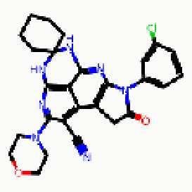 N#Cc1c(N2CCOCC2)nc2c3c(nc4c(c13)CC(=O)N4c1cccc(Cl)c1)NC1(CCCCC1)N2